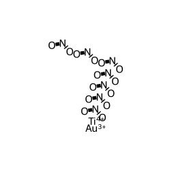 O=N[O-].O=N[O-].O=N[O-].O=N[O-].O=N[O-].O=N[O-].O=N[O-].[Au+3].[Ti+4]